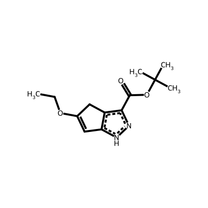 CCOC1=Cc2[nH]nc(C(=O)OC(C)(C)C)c2C1